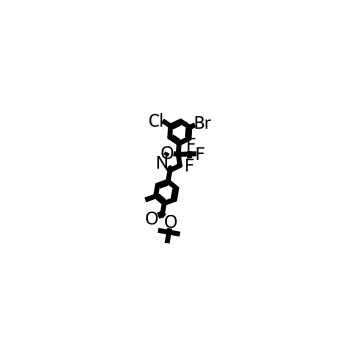 Cc1cc(C2=NOC(c3cc(Cl)cc(Br)c3)(C(F)(F)F)C2)ccc1C(=O)OC(C)(C)C